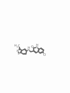 Cc1nsc2ccc(NCc3cc4cc(Cl)ccc4[nH]c3=O)cc12